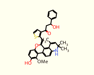 COc1c(O)ccc2c1-c1ccc3c(c1/C(=C/c1sccc1C(=O)CC(O)c1ccccc1)O2)C(C)=CC(C)(C)N3